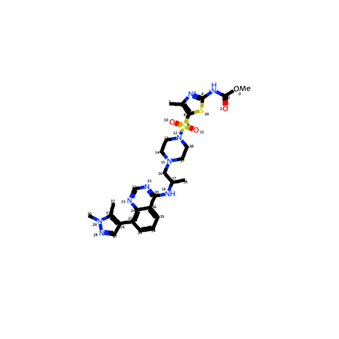 COC(=O)Nc1nc(C)c(S(=O)(=O)N2CCN(CC(C)Nc3ncnc4c(-c5cnn(C)c5C)cccc34)CC2)s1